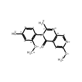 COc1cc2c(=O)n(-c3ccc(O)cc3OC)c(C)nc2cn1